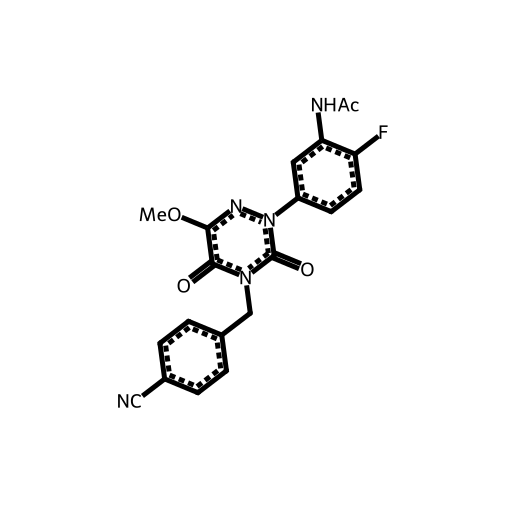 COc1nn(-c2ccc(F)c(NC(C)=O)c2)c(=O)n(Cc2ccc(C#N)cc2)c1=O